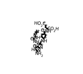 Nc1nc2ncc(CNc3ccc(C(=O)NC(CCC(=O)O)C(=O)O)cc3)nc2c(=O)[nH]1.[N-]=[N+]=NNC(N)=O